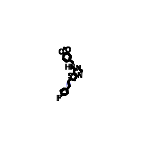 Fc1ccc(/C=C/C2Cc3ncnc(NCc4ccc5c(c4)OCO5)c3S2)cc1